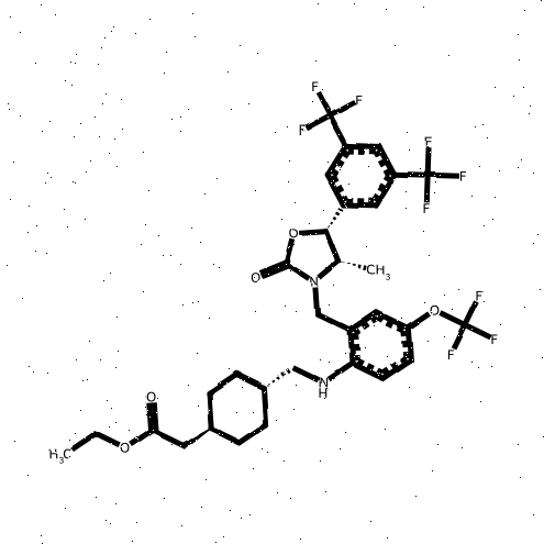 CCOC(=O)C[C@H]1CC[C@H](CNc2ccc(OC(F)(F)F)cc2CN2C(=O)O[C@H](c3cc(C(F)(F)F)cc(C(F)(F)F)c3)[C@@H]2C)CC1